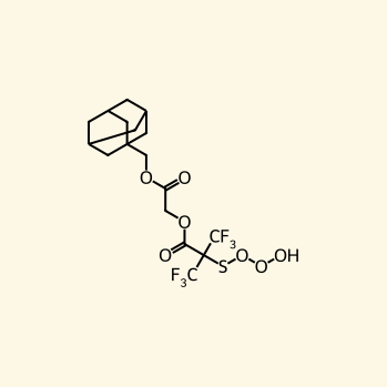 O=C(COC(=O)C(SOOO)(C(F)(F)F)C(F)(F)F)OCC12CC3CC(CC(C3)C1)C2